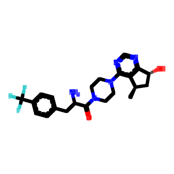 C[C@@H]1C[C@@H](O)c2ncnc(N3CCN(C(=O)C(N)Cc4ccc(C(F)(F)F)cc4)CC3)c21